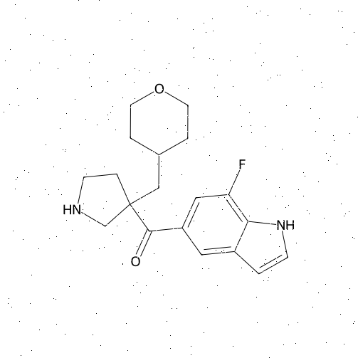 O=C(c1cc(F)c2[nH]ccc2c1)C1(CC2CCOCC2)CCNC1